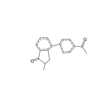 CC(=O)c1ccc(-c2cccc3c2CC(C)C3=O)cc1